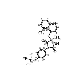 CC1(Cc2ccnc3cccc(Cl)c23)NC(=O)N(c2ccc(SC(F)(F)F)cc2)C1=O